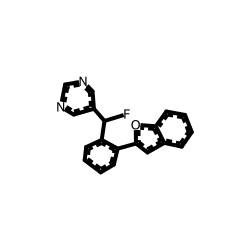 FC(c1cncnc1)c1ccccc1-c1cc2ccccc2o1